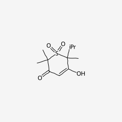 CC(C)C1(C)C(O)=CC(=O)C(C)(C)S1(=O)=O